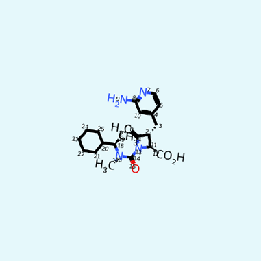 C=C1[C@H](Cc2ccnc(N)c2)[C@@H](C(=O)O)N1C(=O)N(C)[C@H](C)C1CCCCC1